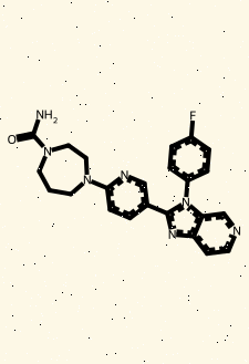 NC(=O)N1CCCN(c2ccc(-c3nc4ccncc4n3-c3ccc(F)cc3)cn2)CC1